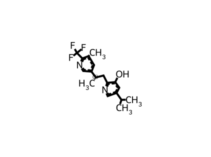 Cc1cc([C@@H](C)Cc2ncc(C(C)C)cc2O)cnc1C(F)(F)F